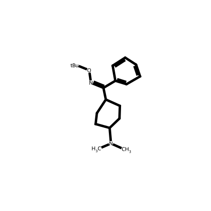 CN(C)C1CCC(/C(=N/OC(C)(C)C)c2ccccc2)CC1